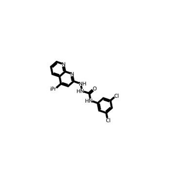 CC(C)c1cc(NNC(=O)Nc2cc(Cl)cc(Cl)c2)nc2ncccc12